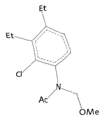 CCc1ccc(N(COC)C(C)=O)c(Cl)c1CC